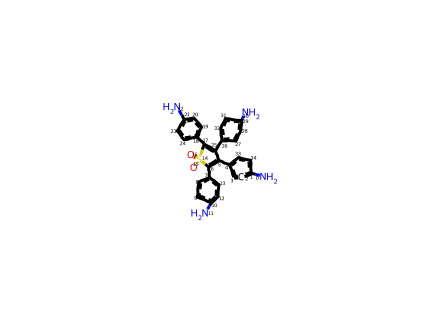 Nc1ccc(C2=C(c3ccc(N)cc3)S(=O)(=O)C(c3ccc(N)cc3)=C2c2ccc(N)cc2)cc1